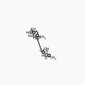 COc1cc(/C=C\c2cc(OC)c(OCCCCCCCCCOc3ccc(C4NC(=O)c5cc(C)ccc5N4)cc3CO)c(OC)c2)cc(CO)c1CO